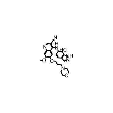 COc1cc2ncc(C#N)c(Nc3ccc4cn[nH]c4c3)c2cc1OCCCN1CCOCC1.Cl